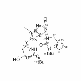 Cc1c(C[C@H](CCO)NC(=O)OC(C)(C)C)sc2c(N(Cc3ccco3)C(=O)OC(C)(C)C)nc(Cl)nc12